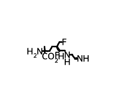 CC(N)(CCC(CF)=C(F)CNCC=N)C(=O)O